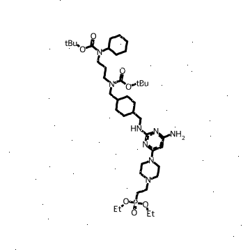 CCOP(=O)(CCN1CCN(c2cc(N)nc(NCC3CCC(CN(CCCN(C(=O)OC(C)(C)C)C4CCCCC4)C(=O)OC(C)(C)C)CC3)n2)CC1)OCC